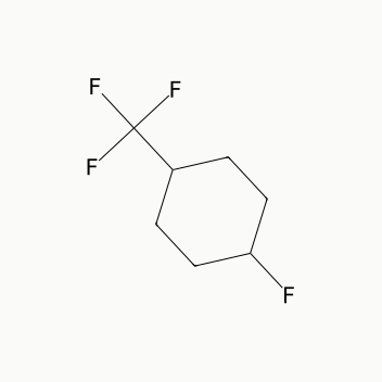 FC1CCC(C(F)(F)F)CC1